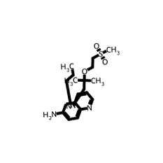 CCCC1N=C2C(N)=CC=C3N=CC=CC32N1CC(C)(C)OCCS(C)(=O)=O